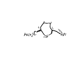 CCCC1CCC(C(=O)O)S1